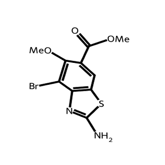 COC(=O)c1cc2sc(N)nc2c(Br)c1OC